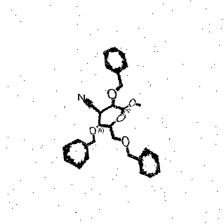 CO[C@H]1OC(COCc2ccccc2)[C@H](OCc2ccccc2)C(C#N)C1OCc1ccccc1